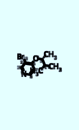 CC(C)[C@@H](C)Oc1ccncc1Br